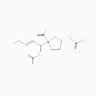 CCC=CC(NC(C)=O)C1(C(=O)O)CC[C@@H](NC(=N)N)C1